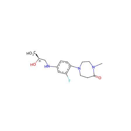 CN1CCN(c2ccc(NC[C@@H](O)C(=O)O)cc2F)CCC1=O